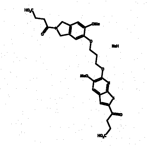 COc1cc2c(cc1OCCCOc1nc3sc(C(=O)CCC(=O)O)cc3cc1OC)CN(C(=O)CCC(=O)O)C2.[NaH]